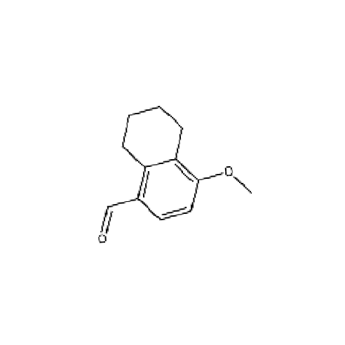 COc1ccc(C=O)c2c1CCCC2